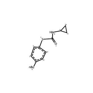 CCCCc1ccc(SC(=O)NC2CC2)cc1